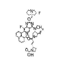 CN(c1nc(OC[C@@]23CCCN2C[C@H](F)C3)nc2c(F)c(-c3cccc4cccc(Cl)c34)ncc12)[C@H]1CN(C(=O)/C=C/[C@@H]2CCN2C(=O)O)C[C@@H]1F